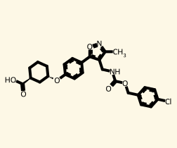 Cc1noc(-c2ccc(O[C@H]3CCC[C@H](C(=O)O)C3)cc2)c1CNC(=O)OCc1ccc(Cl)cc1